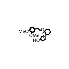 COc1ccc(CCO[C@]2(C)CCCC[C@@H]2N2CC[C@@H](O)C2)cc1OC